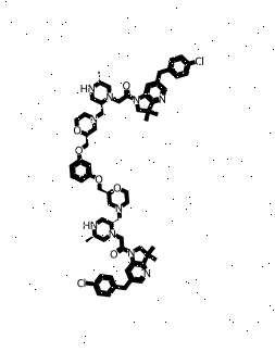 C[C@@H]1CN(CC(=O)N2CC(C)(C)c3ncc(Cc4ccc(Cl)cc4)cc32)[C@@H](CN2CCO[C@H](COc3cccc(OC[C@@H]4CN(C[C@H]5CN[C@H](C)CN5CC(=O)N5CC(C)(C)c6ncc(Cc7ccc(Cl)cc7)cc65)CCO4)c3)C2)CN1